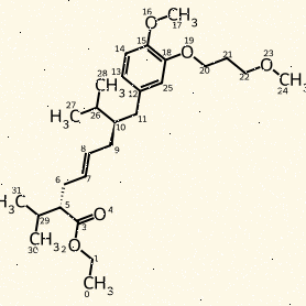 CCOC(=O)[C@@H](C/C=C/C[C@H](Cc1ccc(OC)c(OCCCOC)c1)C(C)C)C(C)C